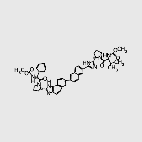 COC(=O)NC(C(=O)N1CCC[C@H]1c1ncc(-c2ccc3cc(-c4ccc5c(ccc6nc([C@@H]7CCCN7C(=O)[C@H](NC(=O)OC)c7ccccc7)[nH]c65)c4)ccc3c2)[nH]1)C(C)C